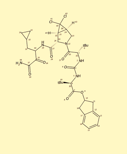 CC(C)(C)[C@H](NC(=O)N[C@@H](C(=O)OC1Cc2ccccc2C1)C(C)(C)C)C(=O)N1C[C@H]2[C@@H]([C@H]1C(=O)NC(CC1CC1)C(=O)C(N)=O)C2(Cl)Cl